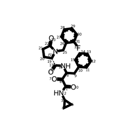 O=C(NC1CC1)C(=O)C(Cc1ccccc1)NC(=O)[C@@H]1CCC(=O)N1Cc1ccccc1F